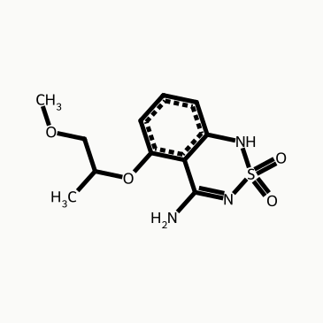 COCC(C)Oc1cccc2c1C(N)=NS(=O)(=O)N2